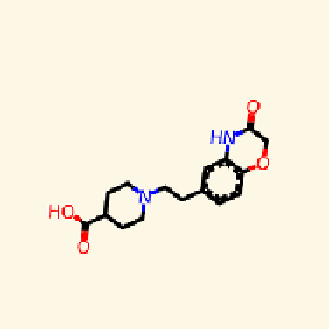 O=C1COc2ccc(CCN3CCC(C(=O)O)CC3)cc2N1